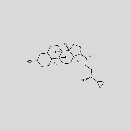 C[C@H](CC[C@H](O)C1CC1)[C@H]1CC[C@H]2[C@@H]3CCC4C[C@@H](O)CC[C@]4(C)[C@H]3CC[C@]12C